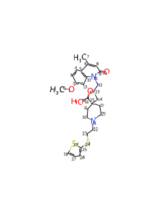 COc1ccc2c(C)cc(=O)n(CCCC3(C(=O)O)CCN(CCSc4cccs4)CC3)c2c1